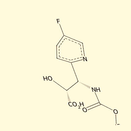 CC(C)(C)OC(=O)N[C@@H](c1ccc(F)cn1)[C@@H](O)C(=O)O